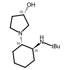 CC(C)(C)N[C@H]1CCCC[C@@H]1N1CC[C@H](O)C1